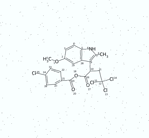 COc1ccc2[nH]c(C)c(C(CC(Cl)(Cl)Cl)C(=O)OC(=O)c3ccc(Cl)cc3)c2c1